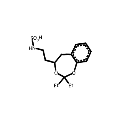 CCC1(CC)Oc2ccccc2CC(CCNS(=O)(=O)O)O1